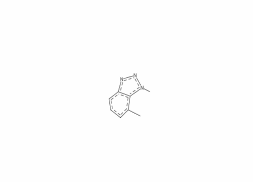 Cc1cccc2nnn(C)c12